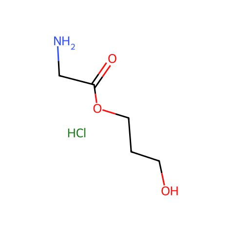 Cl.NCC(=O)OCCCO